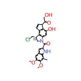 COc1cc2cc(C(=O)N3C[C@@H](CCl)c4c3cc(O)c3c4C=CC3C(=O)CO)[nH]c2c(C)c1OC